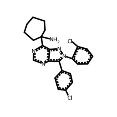 NC1(c2ncnc3c(-c4ccc(Cl)cc4)n(-c4ccccc4Cl)nc23)CCCCCC1